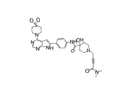 CN(C)C(=O)C#CCN1CCC(O)(C(=O)Nc2ccc(-c3cc4c(N5CCS(=O)(=O)CC5)ncnc4[nH]3)cc2)CC1